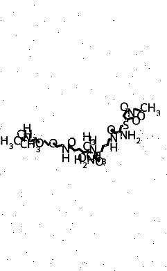 CC(=O)CN1C(=O)CC(SC[C@@H](N)C(=O)NCCCC[C@H](NC(C)(C)C(=O)CCC(=O)NCCOCCOCCNC(C)(C)C)C(N)=O)C1=O